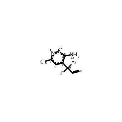 C=CC(F)(F)c1cc(Cl)nnc1N